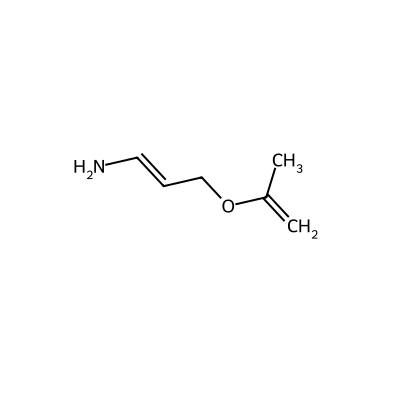 C=C(C)OCC=CN